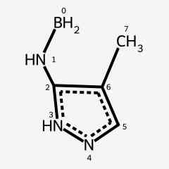 BNc1[nH]ncc1C